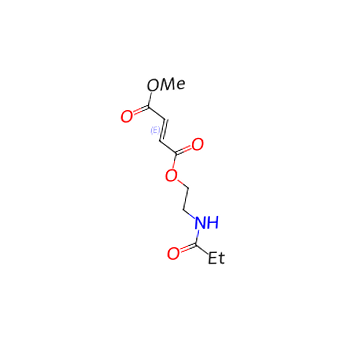 CCC(=O)NCCOC(=O)/C=C/C(=O)OC